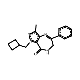 Cc1nn(CC2CCC2)c2c1N=C(c1ccccc1)CNC2=O